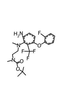 CN(CCN(C)c1c(N)ccc(Oc2ccccc2F)c1C(F)(F)F)C(=O)OC(C)(C)C